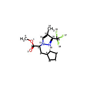 COC(=O)C(CC1CCCC1)n1cc(C)c(C(F)(F)F)n1